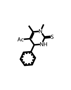 CC(=O)C1=C(C)N(C)C(=S)NC1c1ccccc1